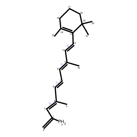 C=C(P)/C=C(C)/C=C/C=C(C)/C=C/C1=C(C)CCCC1(C)C